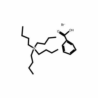 CCCC[N+](CCCC)(CCCC)CCCC.O=C(O)c1ccccc1.[Br-]